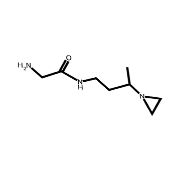 CC(CCNC(=O)CN)N1CC1